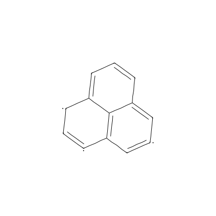 [C]1=C[CH]c2cccc3c[c]cc1c23